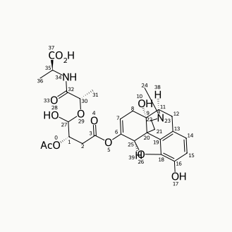 CC(=O)O[C@@H](CC(=O)OC1=CC[C@@]2(O)[C@H]3Cc4ccc(O)c5c4C2(CCN3C)[C@H]1O5)C(O)O[C@@H](C)C(=O)N[C@@H](C)C(=O)O